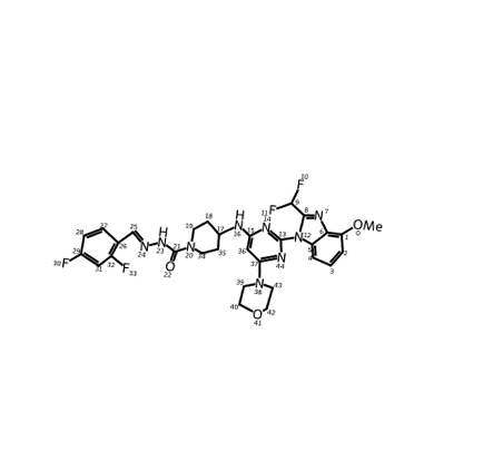 COc1cccc2c1nc(C(F)F)n2-c1nc(NC2CCN(C(=O)NN=Cc3ccc(F)cc3F)CC2)cc(N2CCOCC2)n1